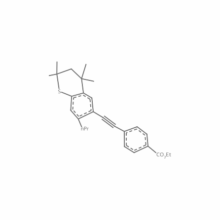 CCCc1cc2c(cc1C#Cc1ccc(C(=O)OCC)cc1)C(C)(C)CC(C)(C)S2